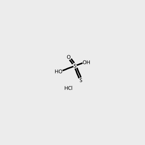 Cl.O=S(O)(O)=S